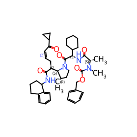 C[C@@H]1CCN(C(=O)[C@@H](NC(=O)[C@H](C)N(C)C(=O)OCc2ccccc2)C2CCCCC2)[C@@H]1[C@H](C/C=C\C(=O)C1CC1)C(=O)NC1CCCc2ccccc21